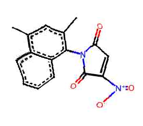 Cc1cc(C)c2ccccc2c1N1C(=O)C=C([N+](=O)[O-])C1=O